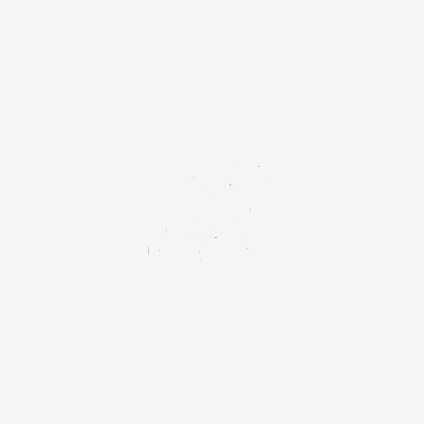 CCCC(C)C1(OC(=O)CO)C(=O)c2ccccc2C1=O